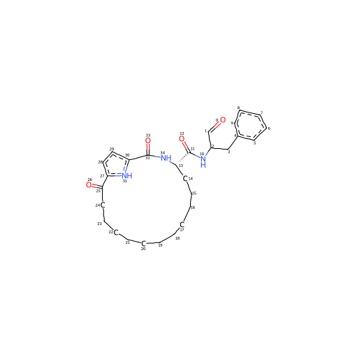 O=CC(Cc1ccccc1)NC(=O)[C@@H]1CCCCCCCCCCCC(=O)c2ccc([nH]2)C(=O)N1